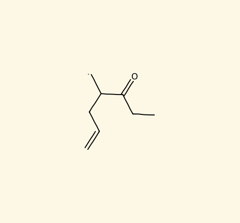 [CH2]C(CC=C)C(=O)CC